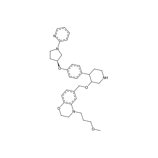 COCCCN1CCOc2ccc(COC3CNCCC3c3ccc(O[C@H]4CCN(c5ccccn5)C4)cc3)cc21